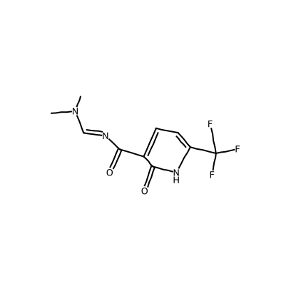 CN(C)C=NC(=O)c1ccc(C(F)(F)F)[nH]c1=O